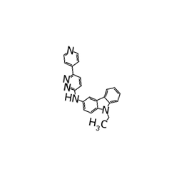 CCn1c2ccccc2c2cc(Nc3ccc(-c4ccncc4)nn3)ccc21